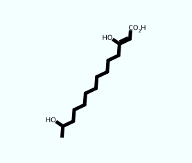 CC(O)CCCCCCCCCC(O)=CC(=O)O